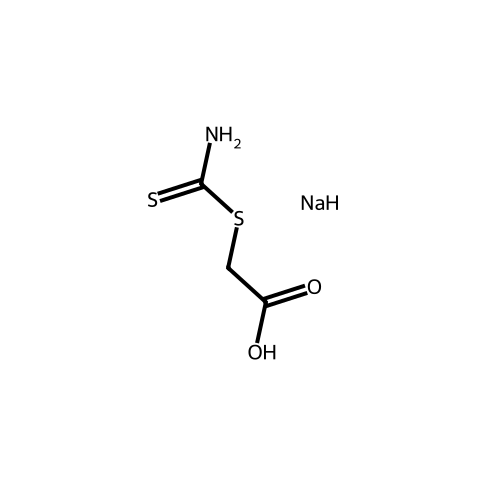 NC(=S)SCC(=O)O.[NaH]